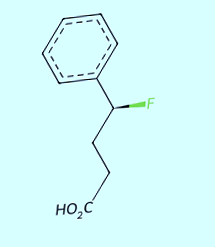 O=C(O)CC[C@H](F)c1ccccc1